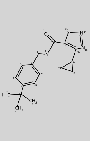 CC(C)(C)c1ccc(CNC(=O)c2snnc2C2CC2)cc1